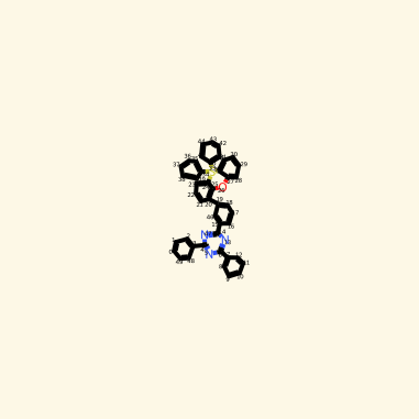 c1ccc(-c2nc(-c3ccccc3)nc(-c3cccc(-c4cccc5c4Oc4ccccc4S5(c4ccccc4)c4ccccc4)c3)n2)cc1